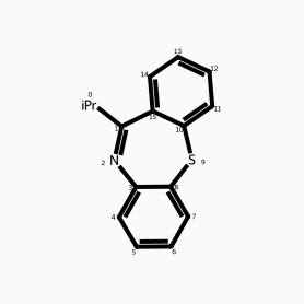 CC(C)C1=Nc2ccccc2Sc2ccccc21